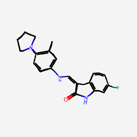 Cc1cc(NC=C2C(=O)Nc3cc(F)ccc32)ccc1N1CCCC1